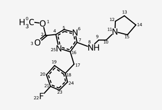 COC(=O)c1cnc(NCCN2CCCC2)c(Cc2ccc(F)cc2)n1